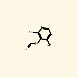 O=COc1c(F)cccc1F